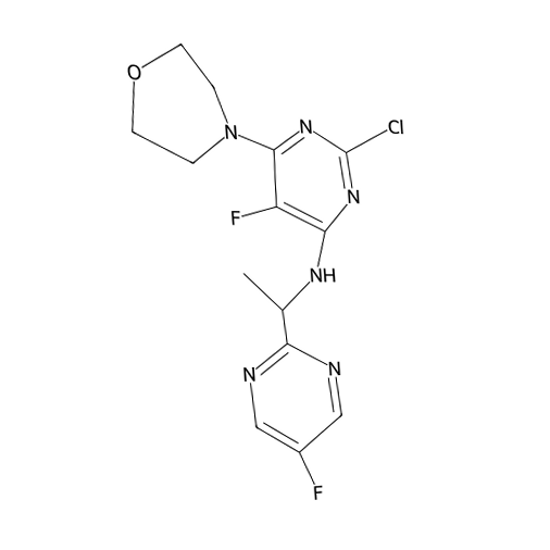 CC(Nc1nc(Cl)nc(N2CCOCC2)c1F)c1ncc(F)cn1